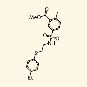 CCc1ccc(SCCNS(=O)(=O)c2ccc(C)c(C(=O)OC)c2)cc1